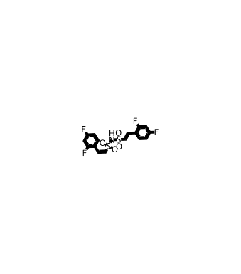 O=S(=O)(/C=C\c1ccc(F)cc1F)NS(=O)(=O)/C=C/c1ccc(F)cc1F